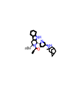 C#CC(=O)N1[C@@H](CCCC)Cc2c([nH]c3ccccc23)[C@@H]1c1ccc(NC2(C)CC3CC4CC4(C3)C2)cn1